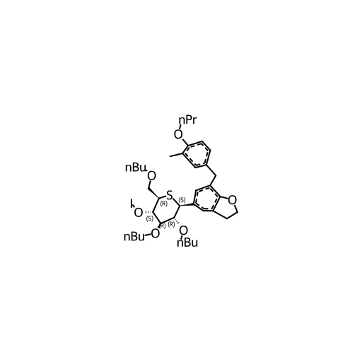 CCCCOC[C@H]1S[C@@H](c2cc3c(c(Cc4ccc(OCCC)c(C)c4)c2)OCC3)[C@H](OCCCC)[C@@H](OCCCC)[C@@H]1OI